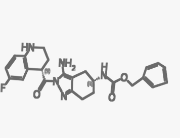 Nc1c2c(nn1C(=O)[C@H]1CCNc3ccc(F)cc31)CC[C@@H](NC(=O)OCc1ccccc1)C2